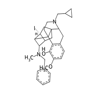 COc1ccc2c(c1O)C13CCN(CC4CC4)C(C2)C12CC1C(N(C)Cc4ccccc4)C3[C@@]1(I)C2